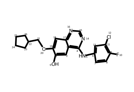 Oc1cc2c(Nc3ccc(F)c(Cl)c3)ncnc2cc1OCC1CCCC1